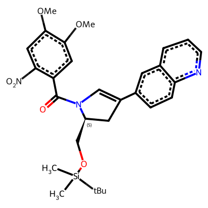 COc1cc(C(=O)N2C=C(c3ccc4ncccc4c3)C[C@H]2CO[Si](C)(C)C(C)(C)C)c([N+](=O)[O-])cc1OC